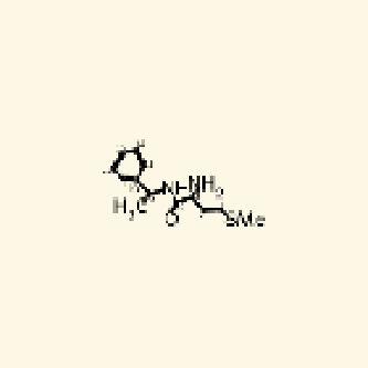 CSCC[C@H](N)C(=O)NC(C)c1ccccc1